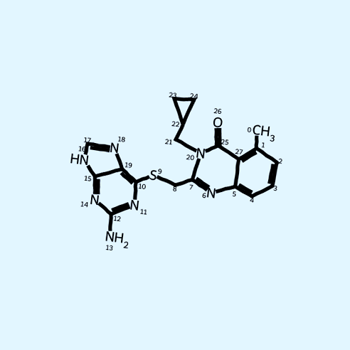 Cc1cccc2nc(CSc3nc(N)nc4[nH]cnc34)n(CC3CC3)c(=O)c12